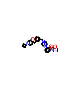 O=c1[nH]c2cccc(N3CCN(Cc4ccc5c(c4)CC4(CCN(C6CCC6)CC4)O5)CC3)c2o1